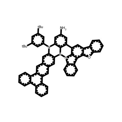 CC(C)(C)c1cc(N2c3cc4cc5c6ccccc6c6ccccc6c5cc4cc3B3c4c(cc(N)cc42)-c2cc4c5ccccc5oc4c4c5ccccc5n3c24)cc(C(C)(C)C)c1